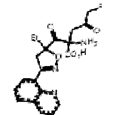 CCC1(C(=O)C(N)(CC(=O)CF)C(=O)O)CC(c2cccc3cccnc23)=NO1